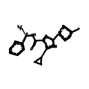 C[C@H](NC(=O)c1nc(-c2ccc(F)cc2)[nH]c1C1CC1)c1ccccc1